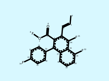 C/C=C/c1c(C(=O)OF)c(-c2ccc(F)cc2)c2cccc(F)c2c1F